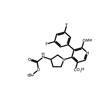 COc1ncc(C(=O)O)c(N2CCC(NC(=O)OC(C)(C)C)C2)c1-c1cc(F)cc(F)c1